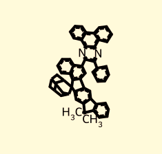 CC1(C)c2ccccc2-c2cc3c(cc21)C1(c2c-3cc(-c3nc4c5ccccc5c5ccccc5c4nc3-c3ccccc3)c3ccccc23)C2CC3CC(C2)CC1C3